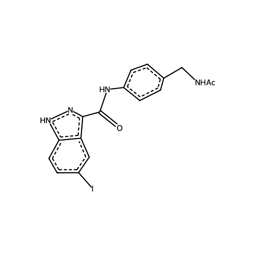 CC(=O)NCc1ccc(NC(=O)c2n[nH]c3ccc(I)cc23)cc1